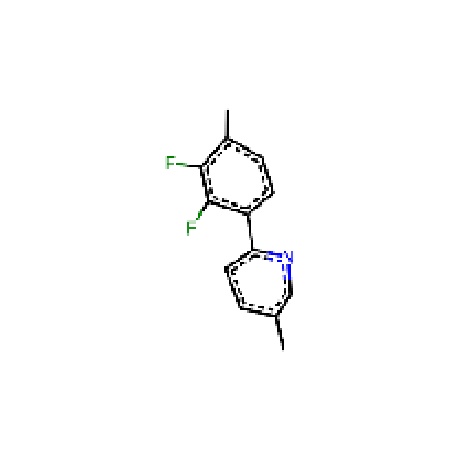 Cc1ccc(-c2ccc(C)c(F)c2F)nc1